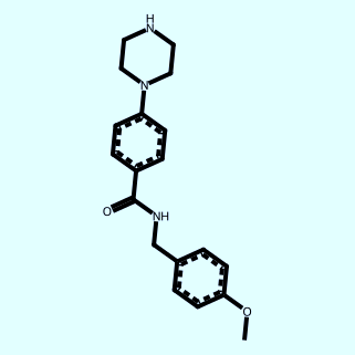 COc1ccc(CNC(=O)c2ccc(N3CCNCC3)cc2)cc1